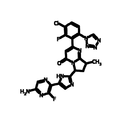 CC1CC(c2ncc(-c3ncc(N)nc3F)[nH]2)n2c1nc(-c1c(-n3cnnn3)ccc(Cl)c1F)cc2=O